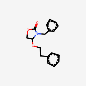 O=C1OCC(OCCc2ccccc2)N1Cc1ccccc1